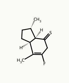 CC1=C(F)CC(=S)[C@H]2[C@@H]1CC[C@@H]2C